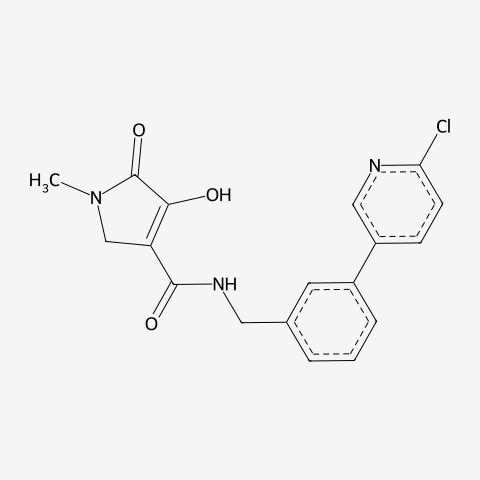 CN1CC(C(=O)NCc2cccc(-c3ccc(Cl)nc3)c2)=C(O)C1=O